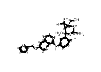 C[C@]1(c2cc(Nc3ncnc4cc(OCc5ncco5)cnc34)ccc2F)N=C(N)S[C@]2(CO)C1C2(F)F